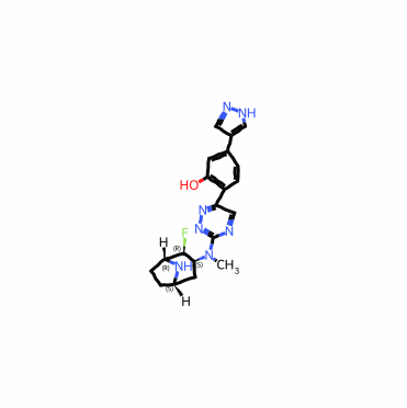 CN(c1ncc(-c2ccc(-c3cn[nH]c3)cc2O)nn1)[C@H]1C[C@@H]2CC[C@@H](N2)[C@H]1F